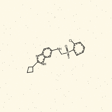 O=S(=S)(CNc1ccc2nc(C3CCC3)[nH]c2c1)c1ccccc1Cl